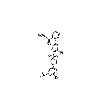 NC(=O)c1ccccc1-c1ccc(S(=O)(=O)N2CCN(c3cc(C(F)(F)F)cc(Cl)n3)CC2)c(O)c1